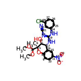 COC(OC)[C@]1(C)Oc2ccc([N+](=O)[O-])cc2[C@@H](NC(=NC#N)Nc2cccc(Cl)c2)[C@@H]1O